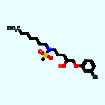 CCOC(=O)CCCCCCN(CCCC(O)COc1cccc(CC)c1)S(C)(=O)=O